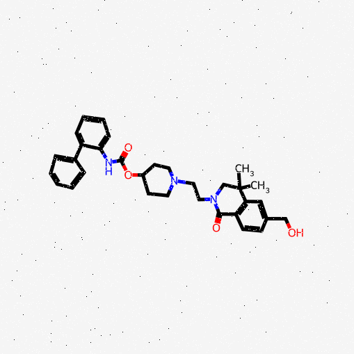 CC1(C)CN(CCN2CCC(OC(=O)Nc3ccccc3-c3ccccc3)CC2)C(=O)c2ccc(CO)cc21